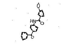 COc1cccc(C(=O)Nc2ccc(C(=O)c3ccccc3)cc2)c1